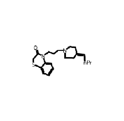 CCCC=C1CCN(CCCN2C(=O)CSc3ccccc32)CC1